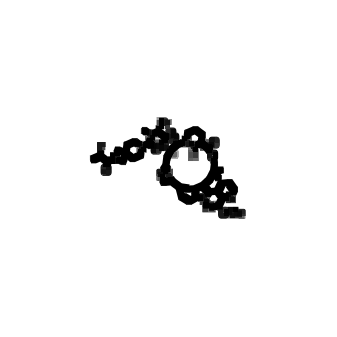 C=C(F)C(=O)N1CC2(CCN(C(=O)N(C)[C@H](C(=O)N[C@H]3Cc4nc(cs4)-c4ccc5c(c4)c(c(-c4cccnc4[C@H](C)OC)n5CC)CC(C)(C)COC(=O)[C@@H]4CCCN(N4)C3=O)C(C)C)CC2)C1